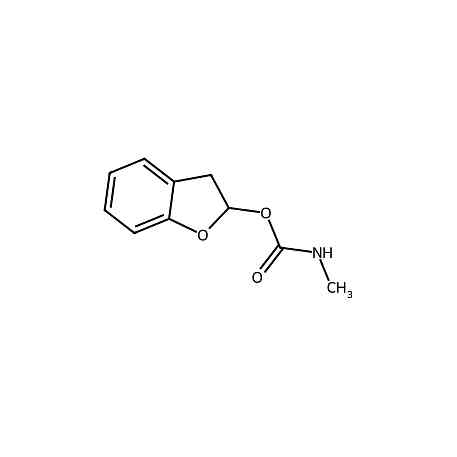 CNC(=O)OC1Cc2ccccc2O1